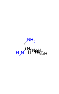 NCCN.[NaH].[NaH].[NaH].[NaH]